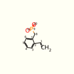 C=Cc1ccccc1CP(=O)=O